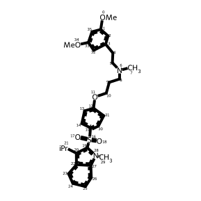 COc1cc(CCN(C)CCCOc2ccc(S(=O)(=O)c3c(C(C)C)c4ccccc4n3C)cc2)cc(OC)c1